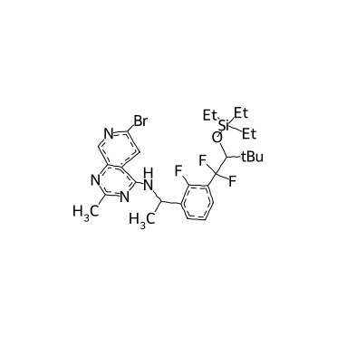 CC[Si](CC)(CC)OC(C(C)(C)C)C(F)(F)c1cccc(C(C)Nc2nc(C)nc3cnc(Br)cc23)c1F